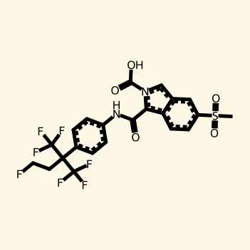 CS(=O)(=O)c1ccc2c(C(=O)Nc3ccc(C(CCF)(C(F)(F)F)C(F)(F)F)cc3)n(C(=O)O)cc2c1